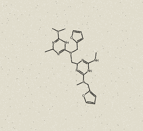 CNC1=NC(CN(Cc2ccco2)C2=NC(C)N=C(N(C)C)N2)N=C(N(C)Cc2ccco2)N1